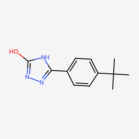 CC(C)(C)c1ccc(-c2nnc(O)[nH]2)cc1